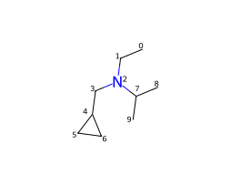 CCN(CC1CC1)C(C)C